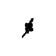 C=CC(CCCCCC)OC(=O)N(C)S(=O)(=O)c1cc(CCC)ccc1-c1ccccc1